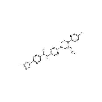 COC[C@H]1CN(c2cnc(NC(=O)c3ccc(-c4cnn(C)c4)nc3)cn2)CCN1c1ccc(F)cn1